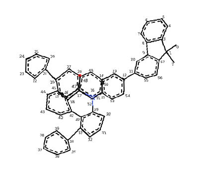 CC1(C)c2ccccc2-c2cc(-c3ccc(N(c4ccc(-c5ccccc5)cc4)c4cccc(-c5ccccc5)c4-c4ccccc4-c4ccccc4)cc3)ccc21